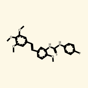 COc1ccc(C=Cc2cc(OC)c(OC)c(OC)c2)cc1NC(=S)Nc1ccc(F)cc1